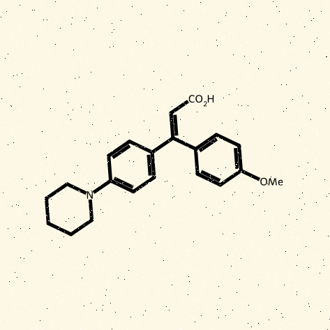 COc1ccc(/C(=C\C(=O)O)c2ccc(N3CCCCC3)cc2)cc1